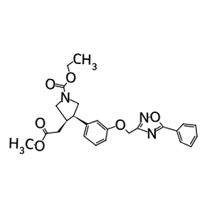 CCOC(=O)N1C[C@H](CC(=O)OC)[C@H](c2cccc(OCc3noc(-c4ccccc4)n3)c2)C1